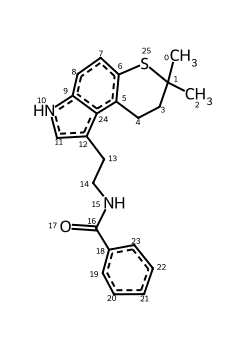 CC1(C)CCc2c(ccc3[nH]cc(CCNC(=O)c4ccccc4)c23)S1